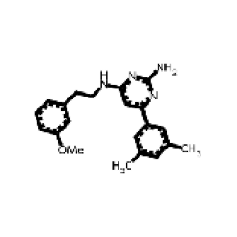 COc1cccc(CCNc2cc(-c3cc(C)cc(C)c3)nc(N)n2)c1